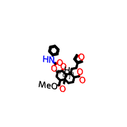 COC(=O)C1C[C@H](OC(=O)Nc2ccccc2)C(=O)[C@H]2C1(C)CCC1C(=O)OC(c3ccoc3)C[C@@]12C